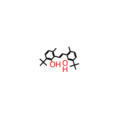 Cc1ccc(C(C)(C)C)c(O)c1/C=C/c1c(C)ccc(C(C)(C)C)c1O